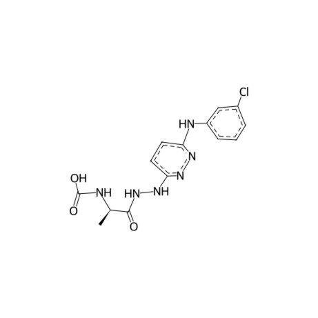 C[C@@H](NC(=O)O)C(=O)NNc1ccc(Nc2cccc(Cl)c2)nn1